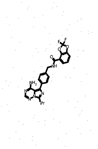 CC(C)c1nc(-c2ccc(CNC(=O)c3cccc4c3OC(F)(F)O4)cc2)c2c(N)ncnn12